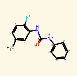 Cc1ccc(F)c(NC(=O)Nc2ccccc2)c1